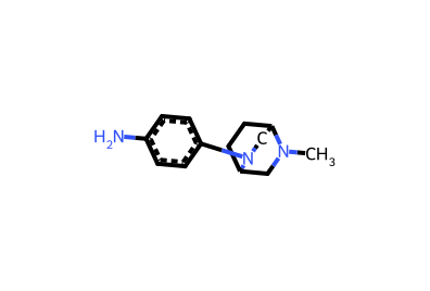 CN1CC2CCC1CN2c1ccc(N)cc1